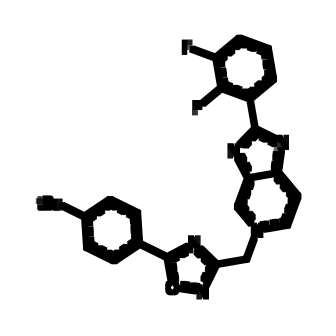 CC(C)(C)c1ccc(-c2nc(Cn3ccc4nc(-c5cccc(F)c5F)nc-4c3)no2)cc1